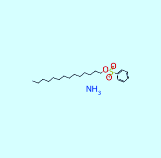 CCCCCCCCCCCCCCOS(=O)(=O)c1ccccc1.N